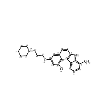 Cc1cncc2c1[nH]c1ccc3cc(OCCCN4CCCCC4)cc(Cl)c3c12